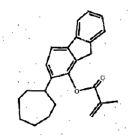 C=C(C)C(=O)Oc1c(C2CCCCCC2)ccc2c1Cc1ccccc1-2